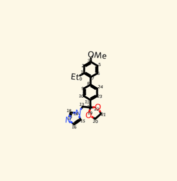 CCc1cc(OC)ccc1-c1ccc(C2(Cn3ccnc3)OCCO2)cc1